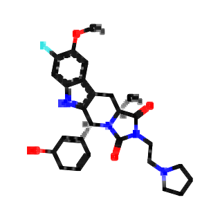 COc1cc2c3c([nH]c2cc1F)[C@@H](C1=CC(O)CC=C1)N1C(=O)N(CCN2CCCC2)C(=O)[C@]1(C)C3